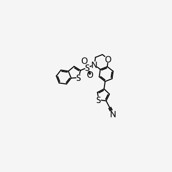 N#Cc1cc(-c2ccc3c(c2)N(S(=O)(=O)c2cc4ccccc4s2)CCO3)cs1